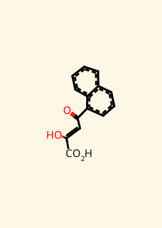 O=C(O)C(O)=CC(=O)c1cccc2ccccc12